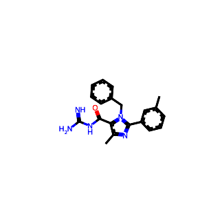 Cc1cccc(-c2nc(C)c(C(=O)NC(=N)N)n2Cc2ccccc2)c1